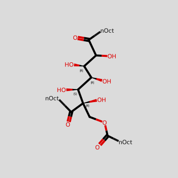 CCCCCCCCC(=O)OC[C@](O)(C(=O)CCCCCCCC)[C@@H](O)[C@H](O)[C@@H](O)C(O)C(=O)CCCCCCCC